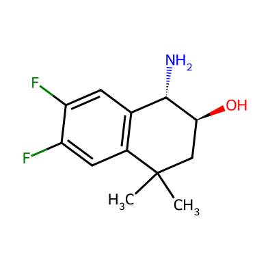 CC1(C)C[C@H](O)[C@@H](N)c2cc(F)c(F)cc21